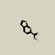 NC(=O)c1ccc2ccsc2n1